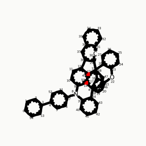 c1ccc(-c2ccc(N(c3ccc4c(c3)C3(c5ccccc5Oc5ccccc53)c3cc5ccccc5cc3-4)c3ccccc3-c3ccccc3)cc2)cc1